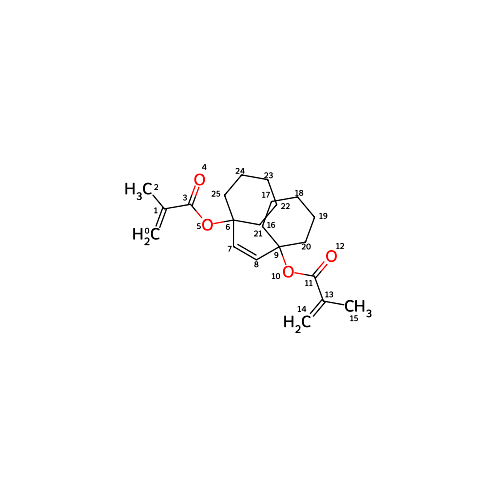 C=C(C)C(=O)OC1(/C=C\C2(OC(=O)C(=C)C)CCCCC2)CCCCC1